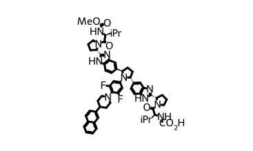 COC(=O)N[C@H](C(=O)N1CCC[C@H]1c1nc2cc([C@H]3CC[C@H](c4ccc5[nH]c([C@@H]6CCCN6C(=O)[C@@H](NC(=O)O)C(C)C)nc5c4)N3c3cc(F)c(N4CCC(c5ccc6ccccc6c5)CC4)c(F)c3)ccc2[nH]1)C(C)C